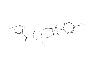 O=C(c1c[nH]nn1)N1C[C@@H]2[C@H](C1)[C@@H]1CC[C@H]2N1S(=O)(=O)c1ccc(F)cc1F